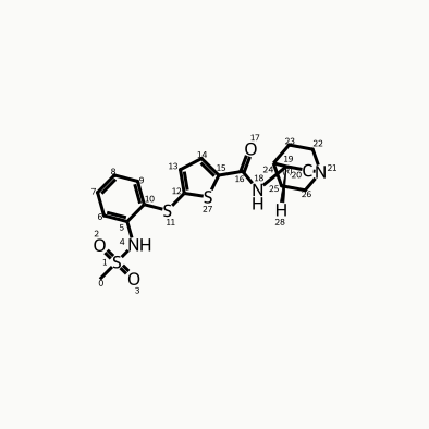 CS(=O)(=O)Nc1ccccc1Sc1ccc(C(=O)N[C@H]2CN3CCC2CC3)s1